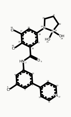 O=C(Nc1cc(Cl)cc(-c2ccncc2)c1)c1cc(N2CCCS2(O)O)cc(Cl)c1Cl